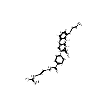 N=C(N)NCCCNC(=O)[C@H]1CC[C@H](n2cc3c(nc2=O)Nc2c(CCCN)cccc2O3)CC1